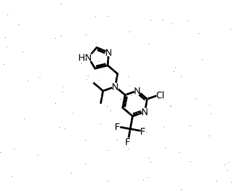 CC(C)N(Cc1c[nH]cn1)c1cc(C(F)(F)F)nc(Cl)n1